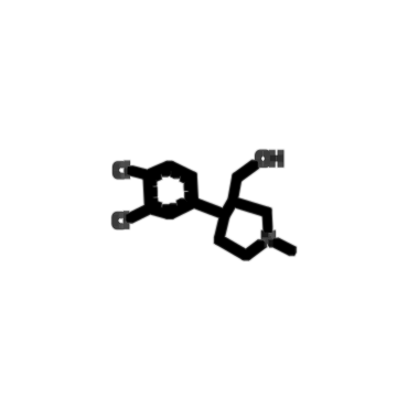 CN1CCC(c2ccc(Cl)c(Cl)c2)C(CO)C1